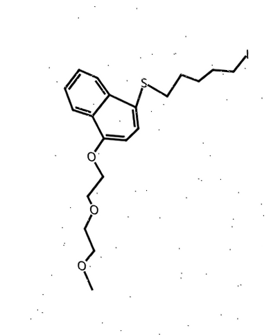 COCCOCCOc1ccc(SCCCCCI)c2ccccc12